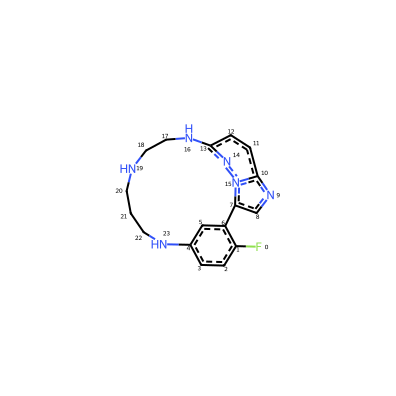 Fc1ccc2cc1-c1cnc3ccc(nn13)NCCNCCCN2